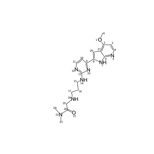 COc1ccnc2[nH]c(-c3ccnc(NCCCNCC(=O)N(C)C)n3)cc12